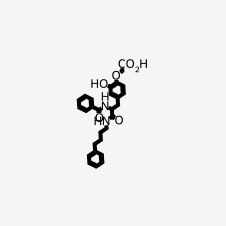 O=C(O)COc1ccc(CC(NC(=O)c2ccccc2)C(=O)NCCCCc2ccccc2)cc1O